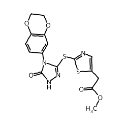 COC(=O)Cc1cnc(Sc2n[nH]c(=O)n2-c2ccc3c(c2)OCCO3)s1